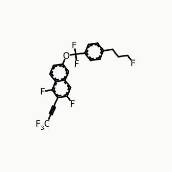 FCCCc1ccc(C(F)(F)Oc2ccc3c(F)c(C#CC(F)(F)F)c(F)cc3c2)cc1